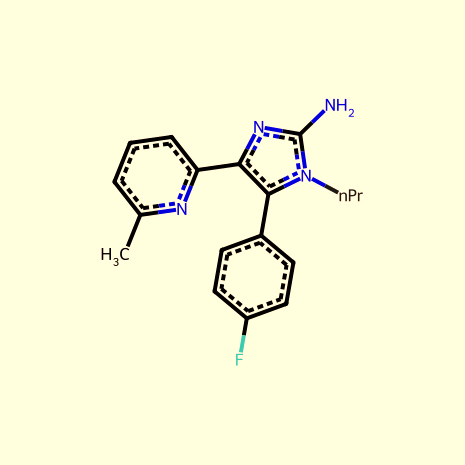 CCCn1c(N)nc(-c2cccc(C)n2)c1-c1ccc(F)cc1